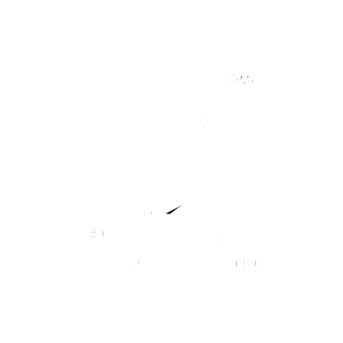 CCCCOC[C@H]1C[C@@H](OCOC)C[C@@H]1COC(=O)C(C)(C)C